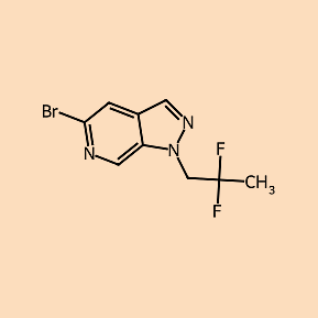 CC(F)(F)Cn1ncc2cc(Br)ncc21